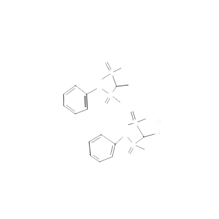 O=P([O-])([O-])C(O)P(=O)([O-])Oc1ccccc1.O=P([O-])([O-])C(O)P(=O)([O-])Oc1ccccc1.[W+6]